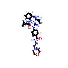 O=C(NCCN1CCOCC1)c1ccc(Nc2ncc(F)c(Nc3ccccc3NC(=O)C3CC3)n2)cc1